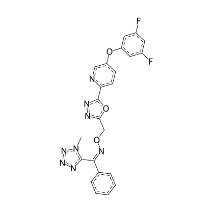 Cn1nnnc1/C(=N\OCc1nnc(-c2ccc(Oc3cc(F)cc(F)c3)cn2)o1)c1ccccc1